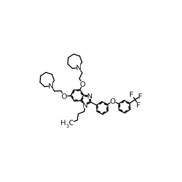 CCCCn1c(-c2cccc(Oc3cccc(C(F)(F)F)c3)c2)nc2c(OCCN3CCCCCC3)cc(OCCN3CCCCCC3)cc21